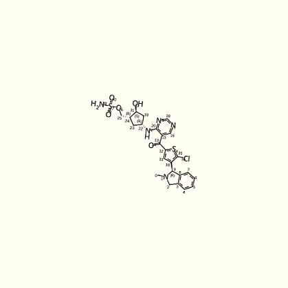 CN1Cc2ccccc2[C@@H]1c1cc(C(=O)c2cncnc2N[C@@H]2C[C@H](COS(N)(=O)=O)[C@@H](O)C2)sc1Cl